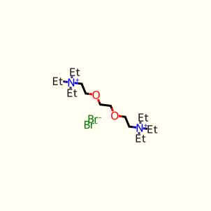 CC[N+](CC)(CC)CCOCCOCC[N+](CC)(CC)CC.[Br-].[Br-]